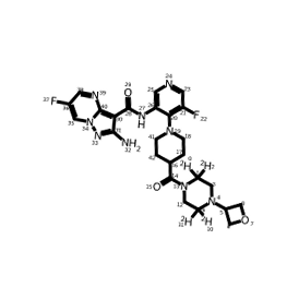 [2H]C1([2H])CN(C2COC2)C([2H])([2H])CN1C(=O)C1CCN(c2c(F)cncc2NC(=O)c2c(N)nn3cc(F)cnc23)CC1